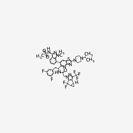 CC(C)N1CCN(c2nc3nc([C@H](Cc4cc(F)cc(F)c4)NC(=O)Cn4nc(C(F)(F)F)c5c4C(F)(F)C4C[C@H]54)c(-c4cccc5c(NS(C)(=O)=O)nn(C)c45)cc3s2)CC1